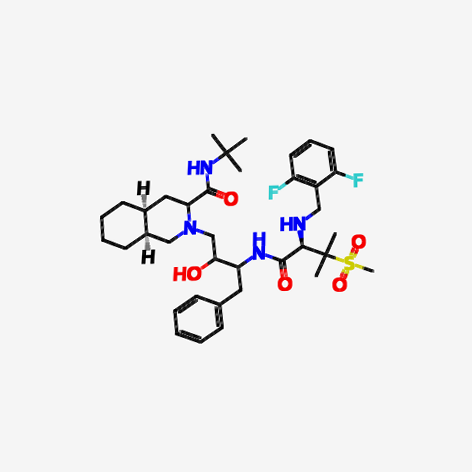 CC(C)(C)NC(=O)C1C[C@@H]2CCCC[C@@H]2CN1CC(O)C(Cc1ccccc1)NC(=O)[C@@H](NCc1c(F)cccc1F)C(C)(C)S(C)(=O)=O